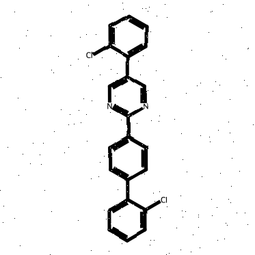 Clc1ccccc1-c1ccc(-c2ncc(-c3ccccc3Cl)cn2)cc1